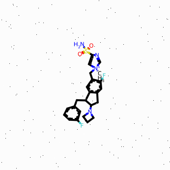 C[N+]1(Cc2cc3c(cc2F)CC(N2CCC2)C3Cc2cccc(F)c2)C=NC(S(N)(=O)=O)=C1